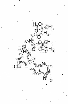 CC(C)(C)OC(=O)CN(Cc1cc2cc(Cl)cc(Cn3cnc4c(N)ncnc43)c2[nH]1)C(=O)OC(C)(C)C